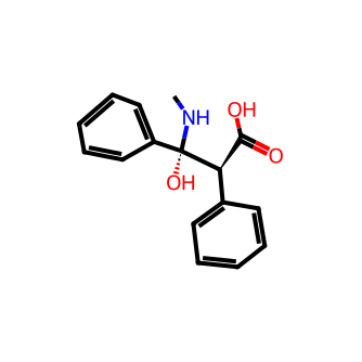 CN[C@](O)(c1ccccc1)[C@@H](C(=O)O)c1ccccc1